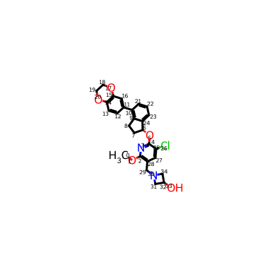 COc1nc(O[C@H]2CCc3c(-c4ccc5c(c4)OCCO5)cccc32)c(Cl)cc1CN1CC(O)C1